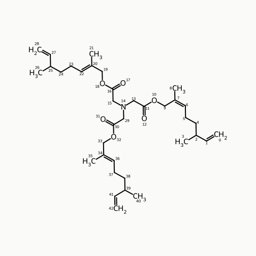 C=CC(C)CCC=C(C)COC(=O)CN(CC(=O)OCC(C)=CCCC(C)C=C)CC(=O)OCC(C)=CCCC(C)C=C